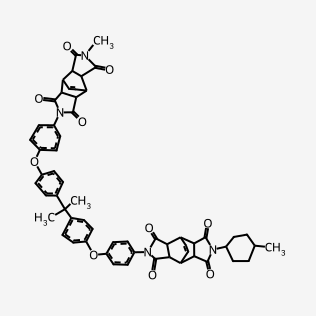 CC1CCC(N2C(=O)C3C4C=CC(C5C(=O)N(c6ccc(Oc7ccc(C(C)(C)c8ccc(Oc9ccc(N%10C(=O)C%11C%12C=CC(C%13C(=O)N(C)C(=O)C%12%13)C%11C%10=O)cc9)cc8)cc7)cc6)C(=O)C45)C3C2=O)CC1